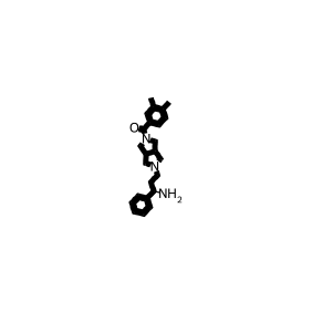 Cc1ccc(C(=O)N2CC3CN(CC[C@H](N)c4ccccc4)CC3C2)cc1C